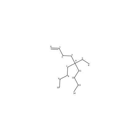 C=CCCC(CC)(CCCC)CCCC